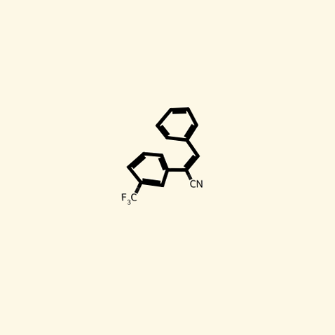 N#CC(=Cc1ccccc1)c1cccc(C(F)(F)F)c1